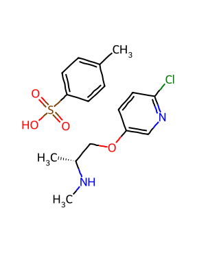 CN[C@H](C)COc1ccc(Cl)nc1.Cc1ccc(S(=O)(=O)O)cc1